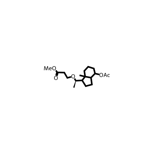 COC(=O)CCO[C@H](C)C1CCC2C(OC(C)=O)CCCC21C